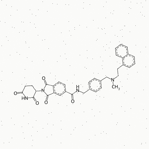 CN(CCc1cccc2ccccc12)Cc1ccc(CNC(=O)c2ccc3c(c2)C(=O)N(C2CCC(=O)NC2=O)C3=O)cc1